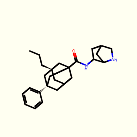 CCC[C@]12CC3CC(C(=O)NC4CC5CNC4C5)(C1)C[C@@](c1ccccc1)(C3)C2